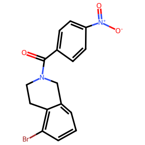 O=C(c1ccc([N+](=O)[O-])cc1)N1CCc2c(Br)cccc2C1